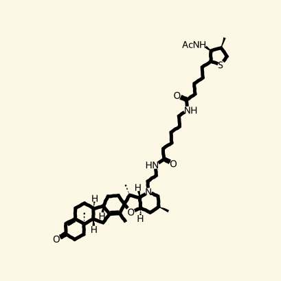 CC(=O)N[C@@H]1C(CCCCC(=O)NCCCCCC(=O)NCCN2C[C@@H](C)C[C@H]3OC4(CC[C@@H]5C(=C4C)C[C@H]4[C@H]5CCC5=CC(=O)CC[C@@]54C)[C@H](C)[C@@H]32)SC[C@@H]1C